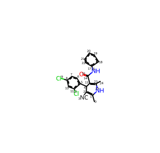 CC1=C(C#N)C(c2ccc(Cl)cc2Cl)C(C(=O)Nc2ccccc2)=C(C)N1